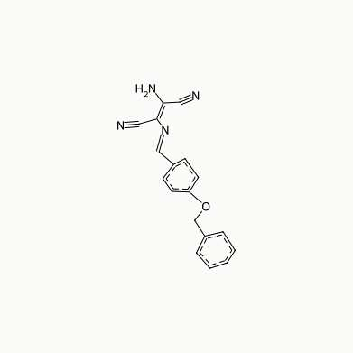 N#C/C(N)=C(C#N)\N=C\c1ccc(OCc2ccccc2)cc1